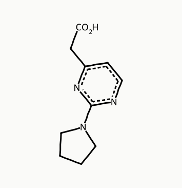 O=C(O)Cc1ccnc(N2CCCC2)n1